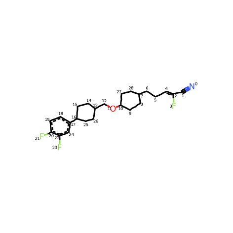 N#CC(F)=CCCC1CCC(OCC2CCC(c3ccc(F)c(F)c3)CC2)CC1